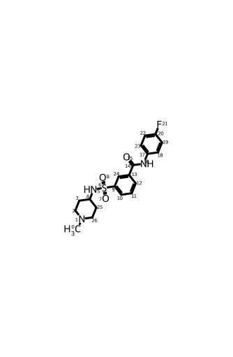 CN1CCC(NS(=O)(=O)c2cccc(C(=O)Nc3ccc(F)cc3)c2)CC1